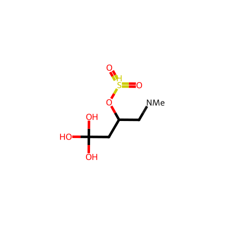 CNCC(CC(O)(O)O)O[SH](=O)=O